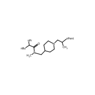 CCCCCC(C)CN1CCC(CN(C)C(=O)C(CCC)CCCC)CC1